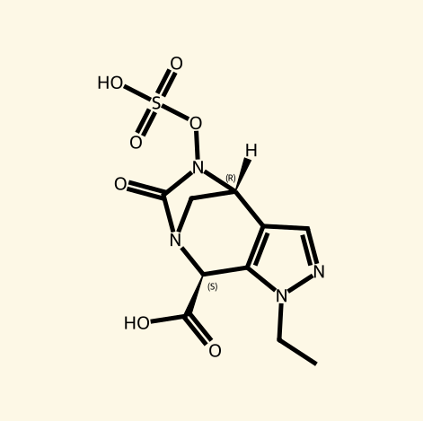 CCn1ncc2c1[C@@H](C(=O)O)N1C[C@@H]2N(OS(=O)(=O)O)C1=O